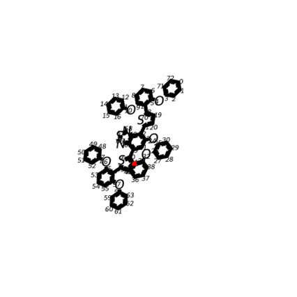 c1ccc(Oc2cccc(Oc3ccccc3)c2-c2ccc(-c3c(Oc4ccccc4)c(Oc4ccccc4)c(-c4ccc(-c5c(Oc6ccccc6)cccc5Oc5ccccc5)s4)c4nsnc34)s2)cc1